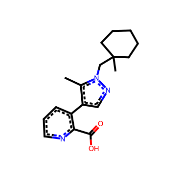 Cc1c(-c2cccnc2C(=O)O)cnn1CC1(C)CCCCC1